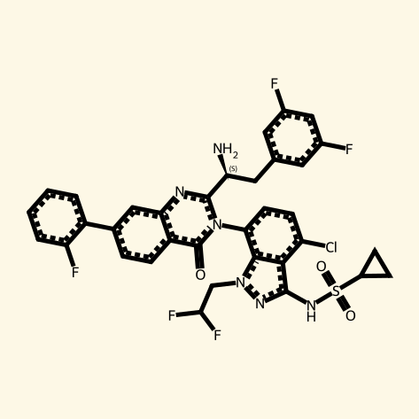 N[C@@H](Cc1cc(F)cc(F)c1)c1nc2cc(-c3ccccc3F)ccc2c(=O)n1-c1ccc(Cl)c2c(NS(=O)(=O)C3CC3)nn(CC(F)F)c12